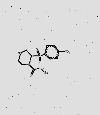 CC(C)(C)OC(=O)N1CCNCC1S(=O)(=O)c1ccc([N+](=O)[O-])cc1